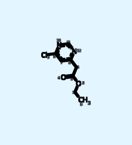 CCOC(=O)[CH]c1cc(Cl)ncn1